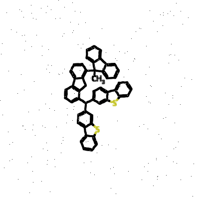 CC1(c2cccc3c2Cc2c-3cccc2C(c2ccc3c(c2)sc2ccccc23)c2ccc3c(c2)sc2ccccc23)c2ccccc2-c2ccccc21